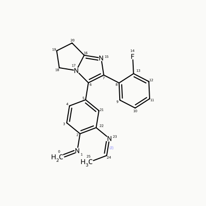 C=Nc1ccc(-c2c(-c3ccccc3F)nc3n2CCC3)cc1/N=C\C